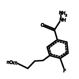 CCCCCCCCCCCc1cc(C(=O)NN)ccc1F